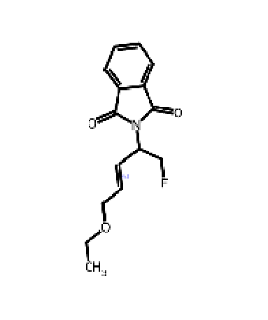 CCOC/C=C/C(CF)N1C(=O)c2ccccc2C1=O